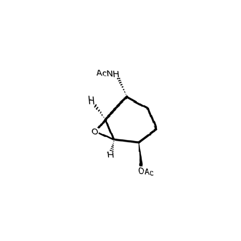 CC(=O)N[C@@H]1CC[C@@H](OC(C)=O)[C@H]2O[C@H]21